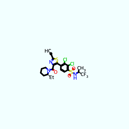 C#Cc1nc(C(=O)N2CCCC[C@H]2CC)c(-c2ccc(S(=O)(=O)N[C@@H](C)C(F)(F)F)c(Cl)c2Cl)s1